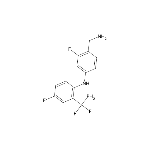 NCc1ccc(Nc2ccc(F)cc2C(F)(F)P)cc1F